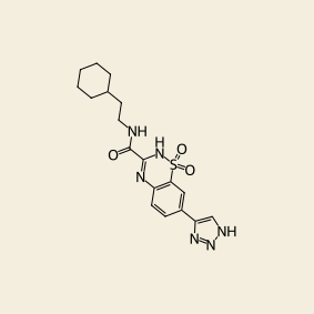 O=C(NCCC1CCCCC1)C1=Nc2ccc(-c3c[nH]nn3)cc2S(=O)(=O)N1